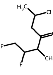 CC(Cl)CC(=O)C([C]=O)C(F)CF